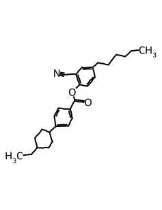 CCCCCCc1ccc(OC(=O)c2ccc(C3CCC(CC)CC3)cc2)c(C#N)c1